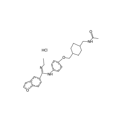 CCN=C(Nc1ccc(OCC2CCC(CNC(C)=O)CC2)cc1)c1ccc2occc2c1.Cl